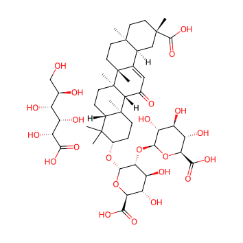 CC1(C)[C@@H](O[C@H]2O[C@H](C(=O)O)[C@@H](O)[C@H](O)[C@H]2O[C@@H]2O[C@H](C(=O)O)[C@@H](O)[C@H](O)[C@H]2O)CC[C@]2(C)[C@H]3C(=O)C=C4[C@@H]5C[C@@](C)(C(=O)O)CC[C@]5(C)CC[C@@]4(C)[C@]3(C)CC[C@@H]12.O=C(O)[C@H](O)[C@@H](O)[C@H](O)[C@H](O)CO